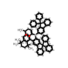 CC1C=CC(N(c2ccc3c(c2)C(c2ccccc2)(c2ccccc2)c2ccccc2-3)c2cc3c(cc2-c2cccc4c2C(C)(C)CCC4(C)C)-c2ccccc2C32c3ccccc3-c3ccccc32)=CC1